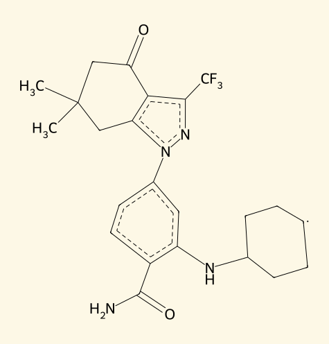 CC1(C)CC(=O)c2c(C(F)(F)F)nn(-c3ccc(C(N)=O)c(NC4CC[CH]CC4)c3)c2C1